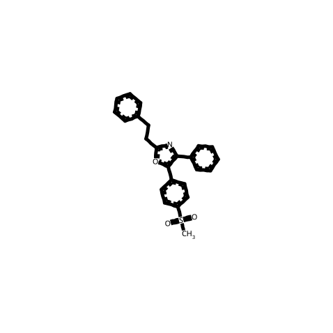 CS(=O)(=O)c1ccc(-c2oc(CCc3ccccc3)nc2-c2ccccc2)cc1